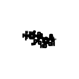 CCOC(=O)c1c(-c2cc(O)c(O)c([N+](=O)[O-])c2)coc1-c1ccc(C(F)(F)F)nc1C